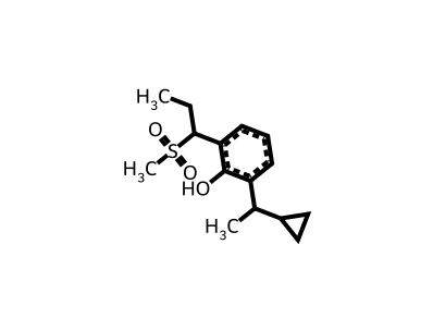 CCC(c1cccc(C(C)C2CC2)c1O)S(C)(=O)=O